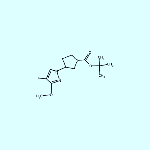 COc1nn(C2CCN(C(=O)OC(C)(C)C)C2)cc1I